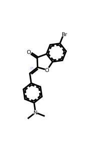 CN(C)c1ccc(/C=C2\Oc3ccc(Br)cc3C2=O)cc1